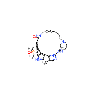 CP(C)(=O)c1c2ccc3c(c[nH]c13)-c1nc(ncc1C(F)(F)F)N[C@H]1CCCN(CCCCCCNC2=O)C1